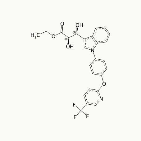 CCOC(=O)[C@H](O)[C@@H](O)c1cn(-c2ccc(Oc3ccc(C(F)(F)F)cn3)cc2)c2ccccc12